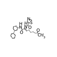 CC(=O)CCCCC[C@H](NC(=O)c1cncs1)C(=O)Nc1cccc(-c2ccccc2)c1